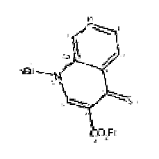 CCCCn1cc(C(=O)OCC)c(=S)c2ccccc21